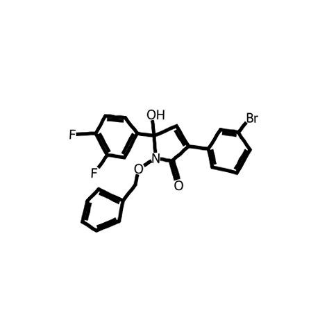 O=C1C(c2cccc(Br)c2)=CC(O)(c2ccc(F)c(F)c2)N1OCc1ccccc1